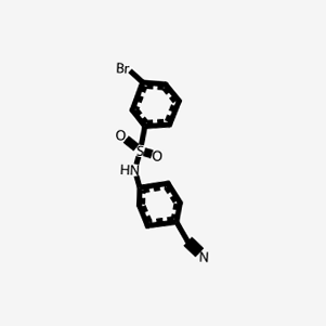 N#Cc1ccc(NS(=O)(=O)c2cccc(Br)c2)cc1